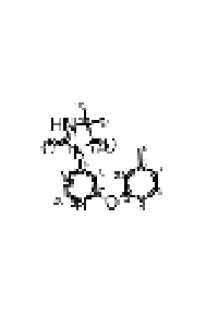 Cc1cccc(Oc2cc(N3C(=O)NC(C)(C)C3=O)ncn2)c1